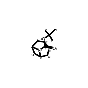 CC(C)(C)OC(=O)N1C2CCOCC1C2